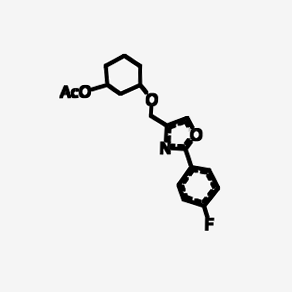 CC(=O)OC1CCCC(OCc2coc(-c3ccc(F)cc3)n2)C1